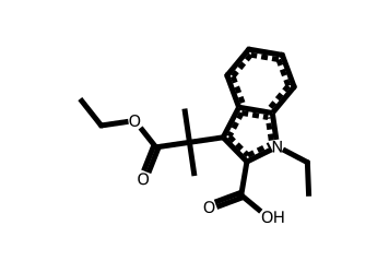 CCOC(=O)C(C)(C)c1c(C(=O)O)n(CC)c2ccccc12